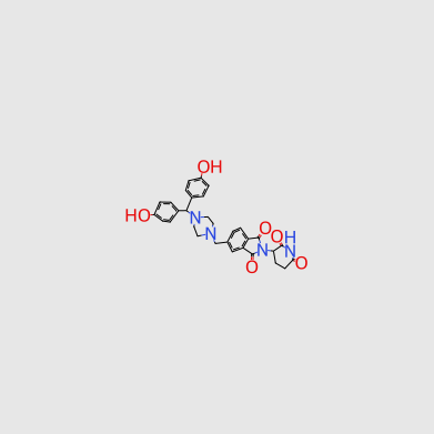 O=C1CCC(N2C(=O)c3ccc(CN4CCN(C(c5ccc(O)cc5)c5ccc(O)cc5)CC4)cc3C2=O)C(=O)N1